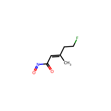 C/C(=C\C(=O)N=O)CCF